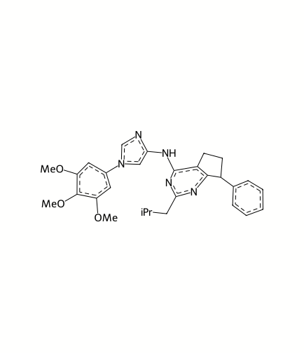 COc1cc(-n2cnc(Nc3nc(CC(C)C)nc4c3CCC4c3ccccc3)c2)cc(OC)c1OC